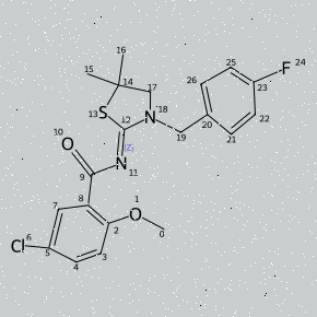 COc1ccc(Cl)cc1C(=O)/N=C1\SC(C)(C)CN1Cc1ccc(F)cc1